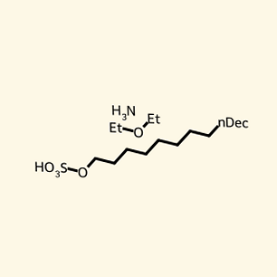 CCCCCCCCCCCCCCCCCCOS(=O)(=O)O.CCOCC.N